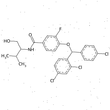 CC(C)C(CO)NC(=O)c1ccc(OC(c2ccc(Cl)cc2)c2ccc(Cl)cc2Cl)c(F)c1